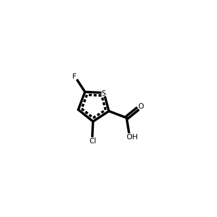 O=C(O)c1sc(F)cc1Cl